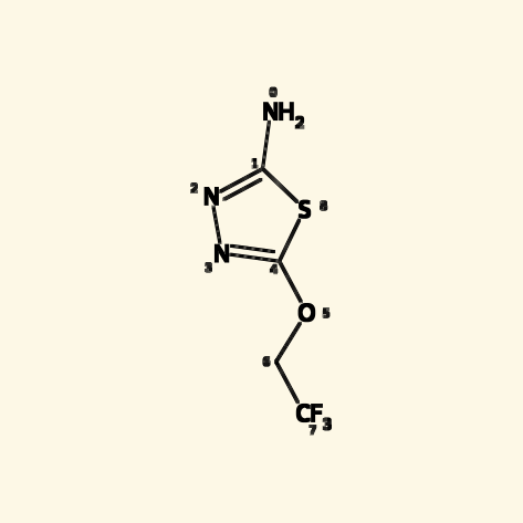 Nc1nnc(OCC(F)(F)F)s1